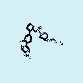 NC(=O)NC1CCN([S+]([O-])Cc2ccccc2-c2ccc(-c3cnc(N)cn3)c(F)c2)CC1